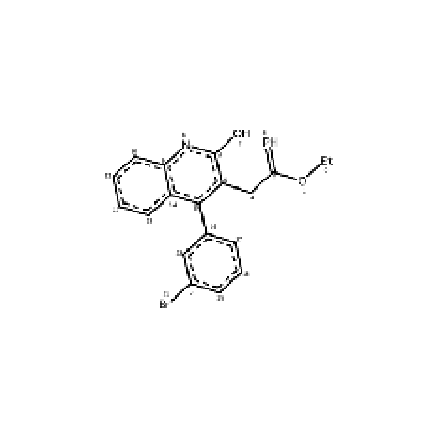 CCOC(=P)Cc1c(O)nc2ccccc2c1-c1cccc(Br)c1